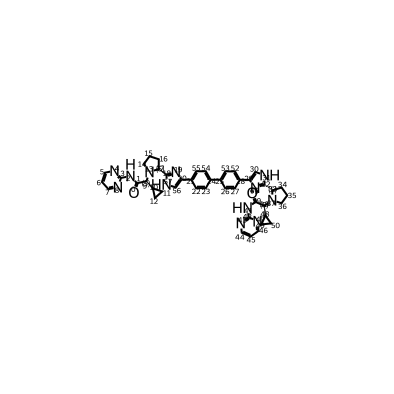 O=C(Nc1ncccn1)[C@H](C1CC1)N1CCC[C@H]1c1nc(-c2ccc(-c3ccc(-c4c[nH]c([C@@H]5CCCN5[C@H](C(=O)Nc5ncccn5)C5CC5)n4)cc3)cc2)c[nH]1